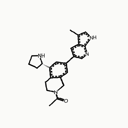 CC(=O)N1CCc2c(cc(-c3cnc4[nH]cc(C)c4c3)cc2[C@@H]2CCCN2)C1